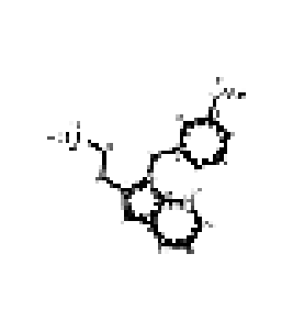 COc1cccc(Cn2c(CCC(=O)O)cc3cccnc32)c1